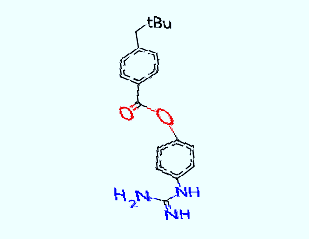 CC(C)(C)Cc1ccc(C(=O)Oc2ccc(NC(=N)N)cc2)cc1